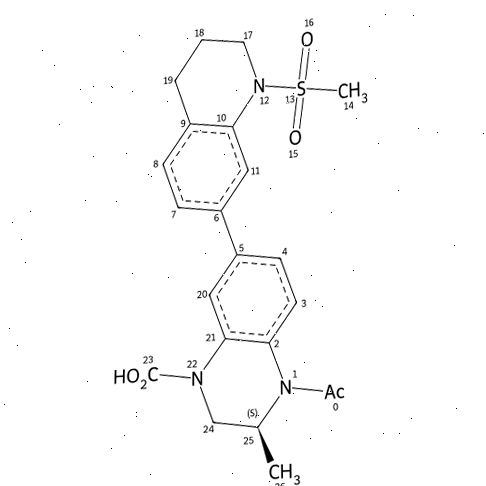 CC(=O)N1c2ccc(-c3ccc4c(c3)N(S(C)(=O)=O)CCC4)cc2N(C(=O)O)C[C@@H]1C